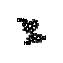 COC(=O)C1=C2CC=CC=C2C(=CCCN2CCC(O)CC2c2ccc(Cl)cc2)c2ccccc2O1